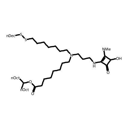 CCCCCCCCCCSSCCCCCCCN(CCCCCCCC(=O)OC(CCCCCCCC)CCCCCCCC)CCCNC1=C(NC)C(O)C1=O